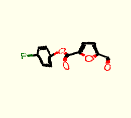 O=Cc1ccc(C(=O)Oc2ccc(F)cc2)o1